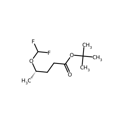 C[C@@H](CCC(=O)OC(C)(C)C)OC(F)F